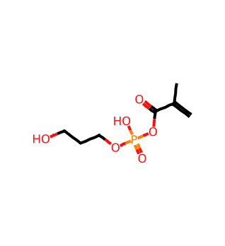 C=C(C)C(=O)OP(=O)(O)OCCCO